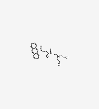 O=C(CCNc1c2ccccc2nc2ccccc12)NCCN(CCCl)CCCl